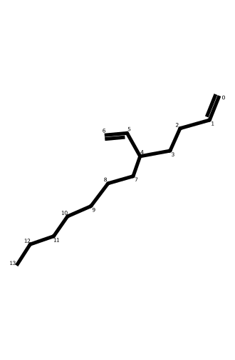 C=CCCC(C=C)CCCCCCC